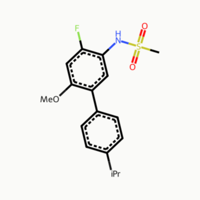 COc1cc(F)c(NS(C)(=O)=O)cc1-c1ccc(C(C)C)cc1